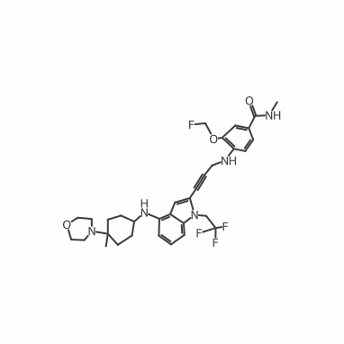 CNC(=O)c1ccc(NCC#Cc2cc3c(NC4CCC(C)(N5CCOCC5)CC4)cccc3n2CC(F)(F)F)c(OCF)c1